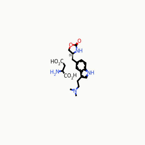 CN(C)CCc1c[nH]c2ccc(C[C@H]3COC(=O)N3)cc12.NC(CC(=O)O)C(=O)O